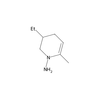 CCC1CC=C(C)N(N)C1